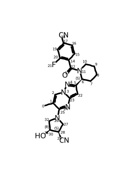 Cc1cn2nc([C@@H]3CCCCN3C(=O)c3ccc(C#N)cc3F)cc2nc1N1C[C@@H](C#N)[C@@H](O)C1